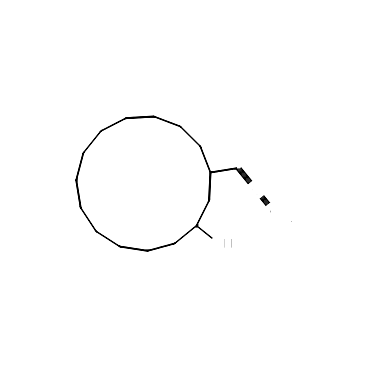 C=C=CC1CCCCCCCCCCCCC(C)C1